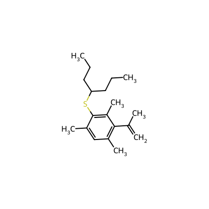 C=C(C)c1c(C)cc(C)c(SC(CCC)CCC)c1C